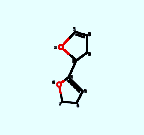 [C]1=COC(C2=CCCO2)C1